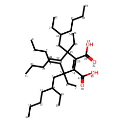 CCCCCC(CC)(CC(CC)CCCC)/C(C(=O)O)=C(/C(=O)O)C(CC)(CCCCC)CC(CC)CCCC